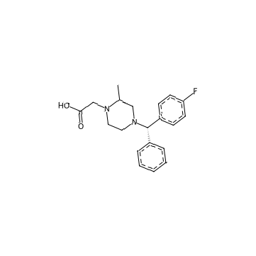 CC1CN([C@@H](c2ccccc2)c2ccc(F)cc2)CCN1CC(=O)O